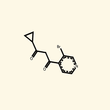 O=C(CC(=O)C1CC1)c1ccncc1Br